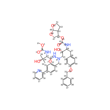 COC(=O)NC(C(=O)NN(Cc1ccc(-c2ccccn2)cc1)CC(O)C(Cc1ccc(OCc2ccccc2)cc1)NC(=O)OC1COC2OCCC12)C(C)(C)O